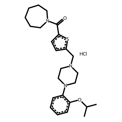 CC(C)Oc1ccccc1N1CCN(Cc2ccc(C(=O)N3CCCCCC3)s2)CC1.Cl